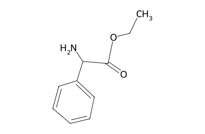 CCOC(=O)C(N)c1ccccc1